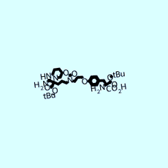 CC(C)(C)OC(=O)C(N)(Cc1ccc(OCC2CN(CCCC(C(=N)N)(C(=O)OC(C)(C)C)N3CCCCC3)C(=O)O2)cc1)C(=O)O